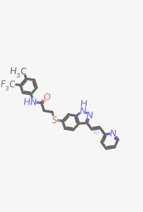 Cc1ccc(NC(=O)CCSc2ccc3c(/C=C/c4ccccn4)n[nH]c3c2)cc1C(F)(F)F